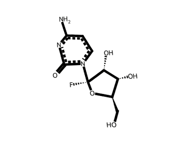 Nc1ccn([C@]2(F)O[C@H](CO)[C@@H](O)[C@H]2O)c(=O)n1